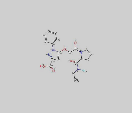 CCN(F)C(=O)C1CCCN1C(=O)COc1cc(C(=O)O)nn1-c1ccccc1